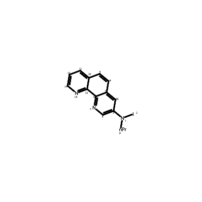 CCCN(I)c1cnc2c(ccc3cccnc32)c1